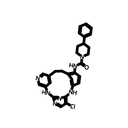 O=C(Nc1ccc2cc1CCc1cncc(c1)Nc1ncc(Cl)c(n1)N2)N1CCC(c2ccccc2)CC1